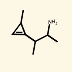 CC1C=C1C(C)C(C)N